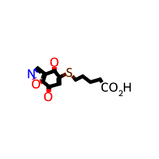 O=C(O)CCCCSC1=CC(=O)c2oncc2C1=O